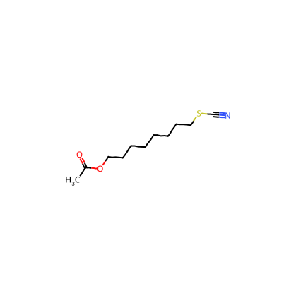 CC(=O)OCCCCCCCCSC#N